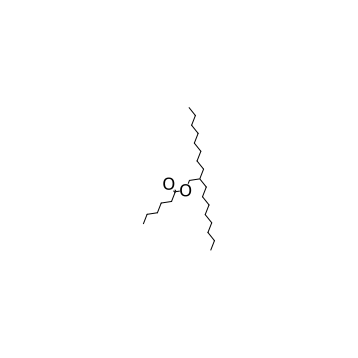 CCCCCCCCC(CCCCCCCC)COC(=O)CCCCC